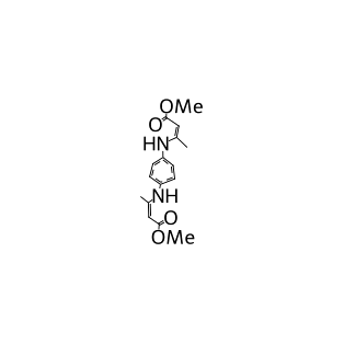 COC(=O)/C=C(/C)Nc1ccc(N/C(C)=C\C(=O)OC)cc1